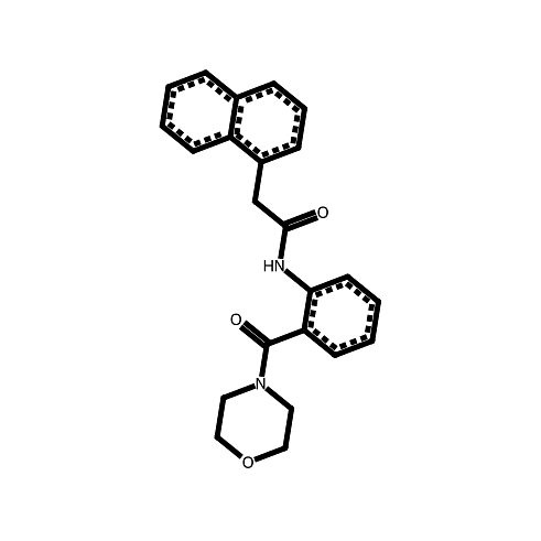 O=C(Cc1cccc2ccccc12)Nc1ccccc1C(=O)N1CCOCC1